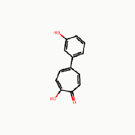 O=c1ccc(-c2cccc(O)c2)ccc1O